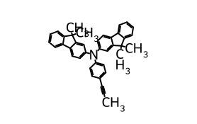 CC#Cc1ccc(N(c2ccc3c(c2)C(C)(C)c2ccccc2-3)c2ccc3c(c2)C(C)(C)c2ccccc2-3)cc1